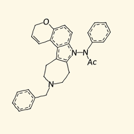 CC(=O)N(c1ccccc1)n1c2c(c3c4c(ccc31)OCC=C4)CCN(Cc1ccccc1)CC2